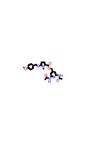 COc1ccc(/C=N/c2ccc(C(=O)OCc3cc(NC(C)=O)nc(NC(C)=O)c3)n2C)cc1